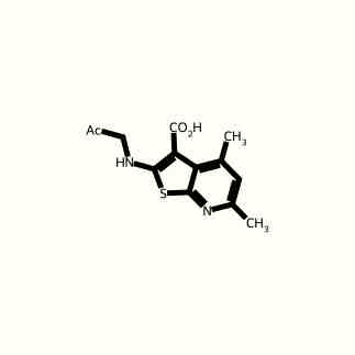 CC(=O)CNc1sc2nc(C)cc(C)c2c1C(=O)O